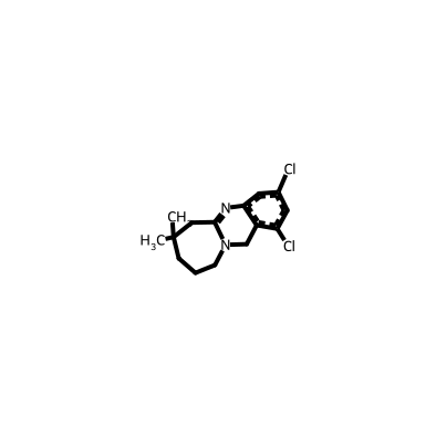 CC1(C)CCCN2Cc3c(Cl)cc(Cl)cc3N=C2C1